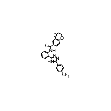 O=C(Nc1ccccc1-c1nnc(-c2ccc(C(F)(F)F)cc2)[nH]1)c1ccc2c(c1)OCCO2